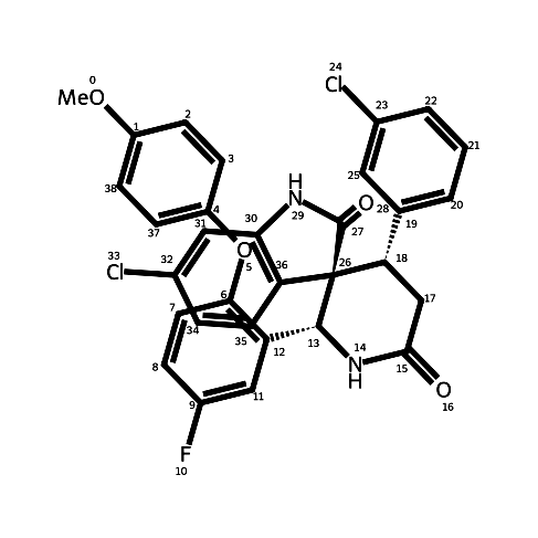 COc1ccc(Oc2ccc(F)cc2[C@H]2NC(=O)C[C@@H](c3cccc(Cl)c3)[C@]23C(=O)Nc2cc(Cl)ccc23)cc1